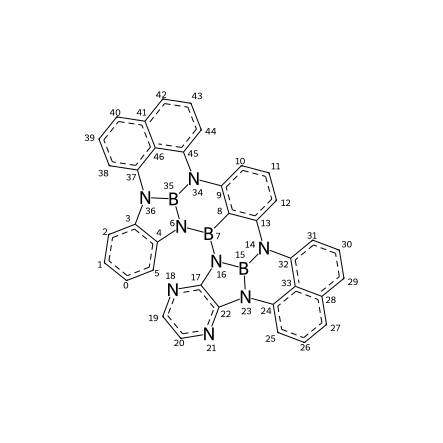 c1ccc2c(c1)N1B3c4c(cccc4N4B5N3c3nccnc3N5c3cccc5cccc4c35)N3B1N2c1cccc2cccc3c12